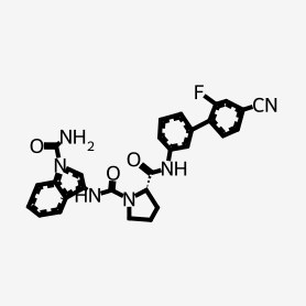 N#Cc1ccc(-c2cccc(NC(=O)[C@@H]3CCCN3C(=O)Nc3cn(C(N)=O)c4ccccc34)c2)c(F)c1